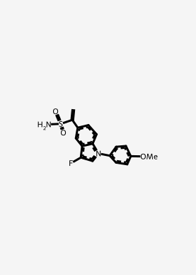 C=C(c1ccc2c(c1)c(F)cn2-c1ccc(OC)cc1)S(N)(=O)=O